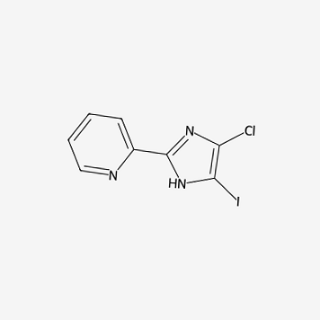 Clc1nc(-c2ccccn2)[nH]c1I